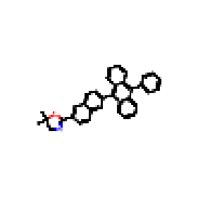 CC1(C)CN=C(c2ccc3cc(-c4c5ccccc5c(-c5ccccc5)c5ccccc45)ccc3c2)O1